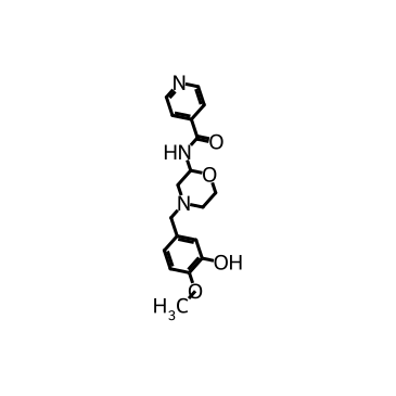 COc1ccc(CN2CCOC(NC(=O)c3ccncc3)C2)cc1O